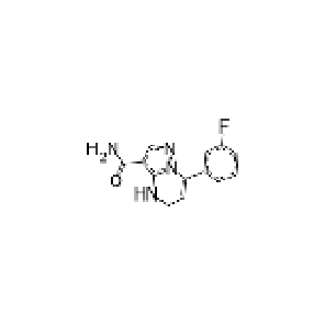 NC(=O)c1cnn2c1NCC=C2c1cccc(F)c1